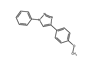 COc1ccc(-c2cn(-c3ccccc3)nn2)cc1